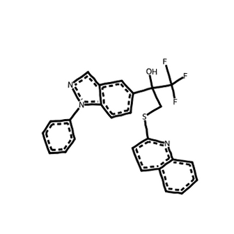 OC(CSc1ccc2ccccc2n1)(c1ccc2c(cnn2-c2ccccc2)c1)C(F)(F)F